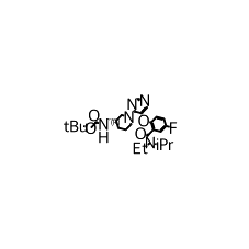 CCN(C(=O)c1cc(F)ccc1Oc1cncnc1N1CCC[C@H](CNC(=O)OC(C)(C)C)C1)C(C)C